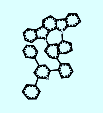 c1ccc(-c2cc(-c3ccccc3)nc(-c3ccccc3-c3ccc(-n4c5ccccc5c5ccc6c7ccccc7n(-c7ccccc7)c6c54)cc3)c2)cc1